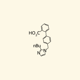 CCCCc1nccn1Cc1ccc(-c2ccccc2C(=O)O)cc1